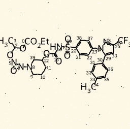 CCOC(=O)OC(C)On1on1N1CCCC(OC(=O)NS(=O)(=O)c2ccc(-n3nc(C(F)(F)F)cc3-c3ccc(C)cc3)cc2)C1